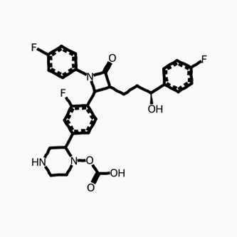 O=C(O)ON1CCNCC1c1ccc(C2C(CC[C@H](O)c3ccc(F)cc3)C(=O)N2c2ccc(F)cc2)c(F)c1